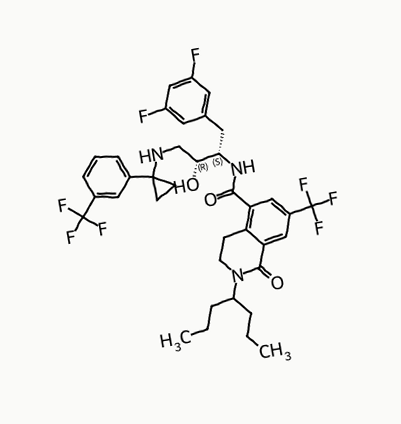 CCCC(CCC)N1CCc2c(C(=O)N[C@@H](Cc3cc(F)cc(F)c3)[C@H](O)CNC3(c4cccc(C(F)(F)F)c4)CC3)cc(C(F)(F)F)cc2C1=O